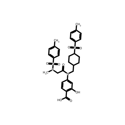 Cc1ccc(S(=O)(=O)C2CCC(CN(C(=O)CN(C)S(=O)(=O)c3ccc(C)cc3)c3ccc(C(=O)O)c(O)c3)CC2)cc1